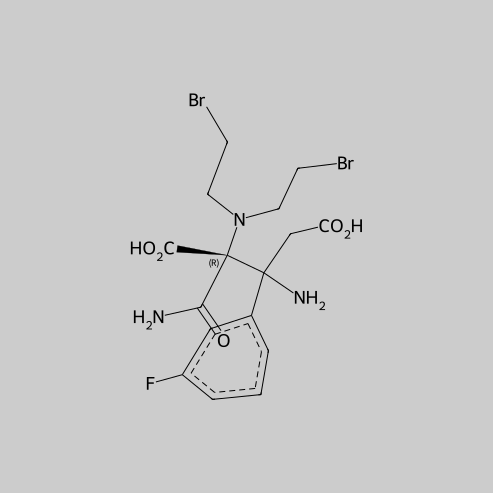 NC(=O)[C@](C(=O)O)(N(CCBr)CCBr)C(N)(CC(=O)O)c1cccc(F)c1